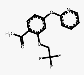 CC(=O)c1ccc(Oc2ccccn2)cc1OCC(F)(F)F